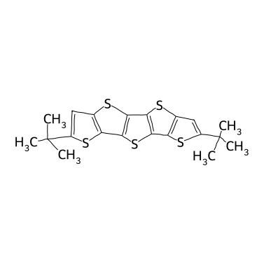 CC(C)(C)c1cc2sc3c(sc4c5sc(C(C)(C)C)cc5sc43)c2s1